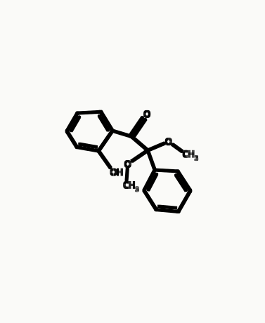 COC(OC)(C(=O)c1ccccc1O)c1ccccc1